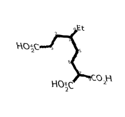 CCC(CCC(=O)O)CCC(C(=O)O)C(=O)O